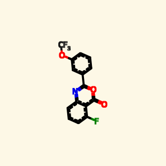 O=c1oc(-c2cccc(OC(F)(F)F)c2)nc2cccc(F)c12